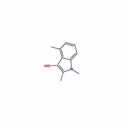 Cc1cccc2c1c(O)c(C)n2C